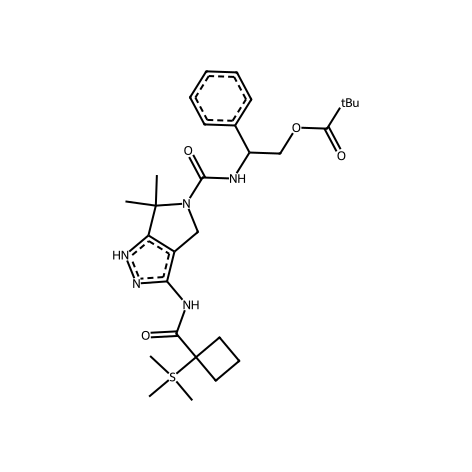 CC(C)(C)C(=O)OCC(NC(=O)N1Cc2c(NC(=O)C3(S(C)(C)C)CCC3)n[nH]c2C1(C)C)c1ccccc1